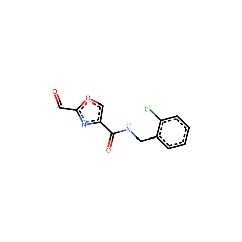 O=[C]c1nc(C(=O)NCc2ccccc2Cl)co1